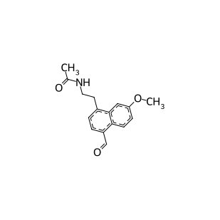 COc1ccc2c(C=O)ccc(CCNC(C)=O)c2c1